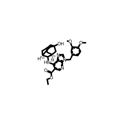 CCOC(=O)c1cnc2c(ncn2Cc2ccc(OC)c(OC)c2)c1NC1[C@H]2CC3C[C@H]1CC(O)(C3)C2